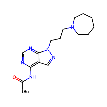 CC(C)(C)C(=O)Nc1ncnc2c1cnn2CCCN1CCCCCC1